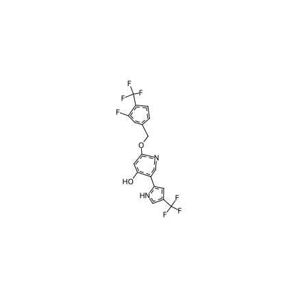 Oc1cc(OCc2ccc(C(F)(F)F)c(F)c2)ncc1-c1cc(C(F)(F)F)c[nH]1